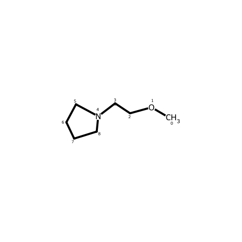 COC[CH]N1CCCC1